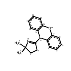 CC1(C)CCC(N2c3ccccc3Oc3ccccc32)=N1